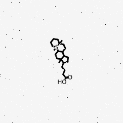 CC12CCC3C(CCC4(C)CCCCS34C)C1CCC2CCCC(=O)O